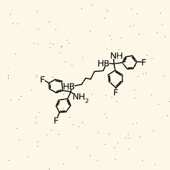 NC(BCCCCCBC(N)(c1ccc(F)cc1)c1ccc(F)cc1)(c1ccc(F)cc1)c1ccc(F)cc1